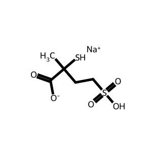 CC(S)(CCS(=O)(=O)O)C(=O)[O-].[Na+]